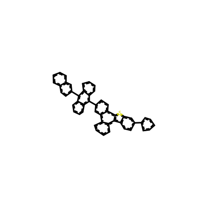 c1ccc(-c2ccc3c(c2)sc2c4ccc(-c5c6ccccc6c(-c6ccc7ccccc7c6)c6ccccc56)cc4c4ccccc4c32)cc1